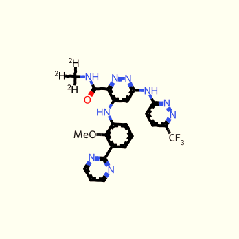 [2H]C([2H])([2H])NC(=O)c1nnc(Nc2ccc(C(F)(F)F)nn2)cc1Nc1cccc(-c2ncccn2)c1OC